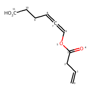 C=CCC(=O)OC=C=CCCC(=O)O